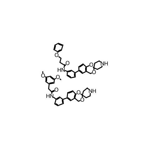 COc1cc(CC(=O)Nc2cccc(-c3ccc4c(c3)COC3(CCNCC3)O4)c2)cc(OC)c1.O=C(CCOc1ccccc1)Nc1cccc(-c2ccc3c(c2)COC2(CCNCC2)O3)c1